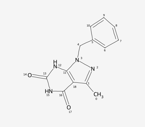 Cc1nn(Cc2ccccc2)c2[nH]c(=O)[nH]c(=O)c12